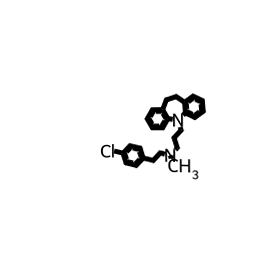 CN(CCCN1c2ccccc2CCc2ccccc21)CCc1ccc(Cl)cc1